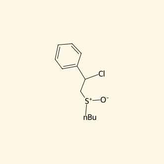 CCCC[S+]([O-])CC(Cl)c1ccccc1